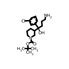 CC(C)(C)OC(=O)N1CCCC([C@@](O)(CCCN)c2cccc(Cl)c2)C1